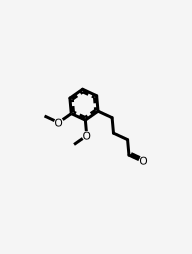 COc1cccc(CCCC=O)c1OC